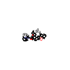 C=c1cccc/c1=C(/C)C1(C)C(C)(C(C)(C)C)C12c1c(cc(C(C)(C)C)c3ccccc13)-c1c(ccc3cc4oc5c6c(ccc5c4cc13)C(C)(C)CCC6(C)C)C2(C)C